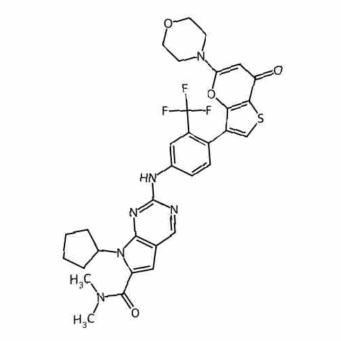 CN(C)C(=O)c1cc2cnc(Nc3ccc(-c4csc5c(=O)cc(N6CCOCC6)oc45)c(C(F)(F)F)c3)nc2n1C1CCCC1